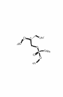 CCCCO[C@H](COC(C)=O)COP(=O)(OC)OCCC